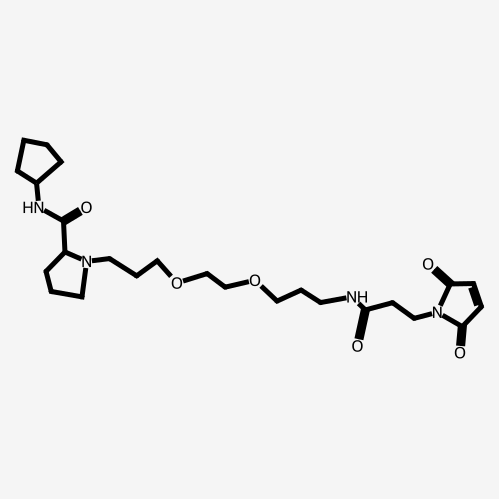 O=C(CCN1C(=O)C=CC1=O)NCCCOCCOCCCN1CCCC1C(=O)NC1CCCC1